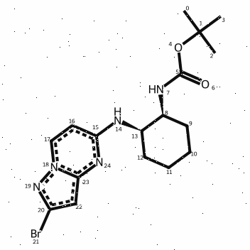 CC(C)(C)OC(=O)N[C@H]1CCCC[C@H]1Nc1ccn2nc(Br)cc2n1